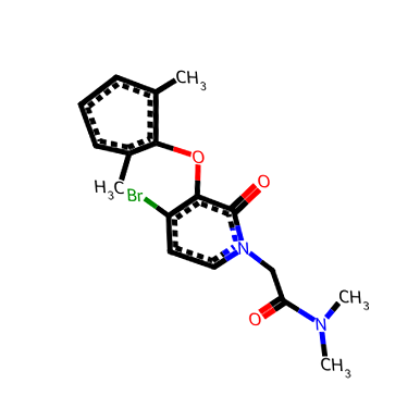 Cc1cccc(C)c1Oc1c(Br)ccn(CC(=O)N(C)C)c1=O